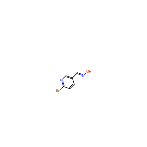 O/N=C/c1ccc(Br)nc1